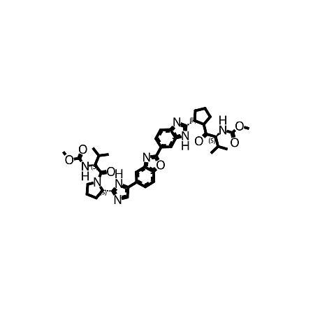 COC(=O)N[C@H](C(=O)C1CCC[C@H]1c1nc2ccc(-c3nc4cc(-c5cnc([C@@H]6CCCN6C(=O)[C@@H](NC(=O)OC)C(C)C)[nH]5)ccc4o3)cc2[nH]1)C(C)C